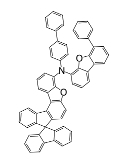 c1ccc(-c2ccc(N(c3cccc4c3oc3c(-c5ccccc5)cccc34)c3cccc4c3oc3ccc5c(c34)-c3ccccc3C53c4ccccc4-c4ccccc43)cc2)cc1